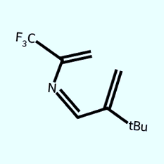 C=C(/C=N\C(=C)C(F)(F)F)C(C)(C)C